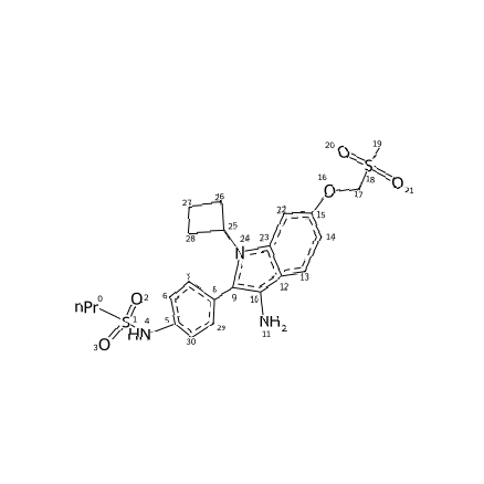 CCCS(=O)(=O)Nc1ccc(-c2c(N)c3ccc(OCS(C)(=O)=O)cc3n2C2CCC2)cc1